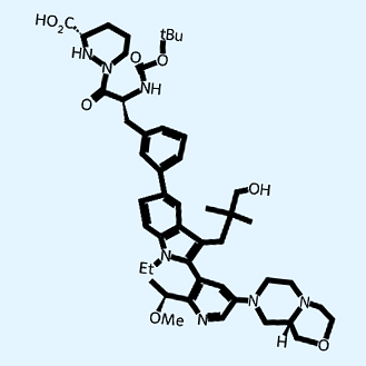 CCn1c(-c2cc(N3CCN4CCOC[C@@H]4C3)cnc2[C@H](C)OC)c(CC(C)(C)CO)c2cc(-c3cccc(C[C@H](NC(=O)OC(C)(C)C)C(=O)N4CCC[C@@H](C(=O)O)N4)c3)ccc21